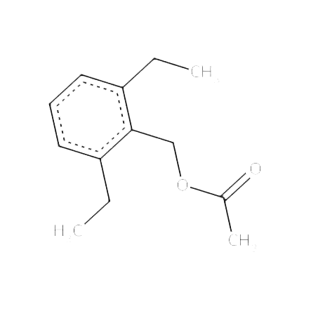 CCc1cccc(CC)c1COC(C)=O